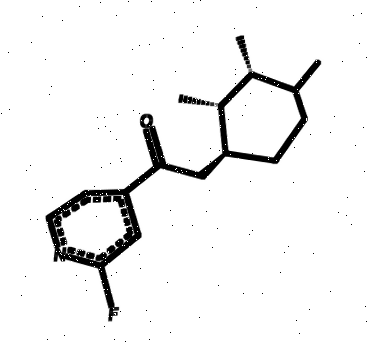 CC1CC[C@@H](CC(=O)c2ccnc(F)c2)[C@H](C)[C@@H]1C